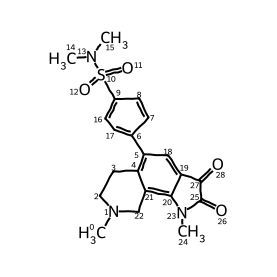 CN1CCc2c(-c3ccc(S(=O)(=O)N(C)C)cc3)cc3c(c2C1)N(C)C(=O)C3=O